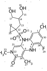 Cc1ccc(Nc2c(NS(=O)(=O)C3(CC(CO)CO)CC3)cn(C)c(=O)c2C)c(F)c1